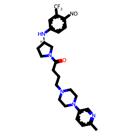 Cc1ccc(N2CCN(CCCC(=O)N3CC[C@H](Nc4ccc(N=O)c(C(F)(F)F)c4)C3)CC2)cn1